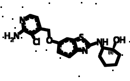 Nc1nccc(COc2ccc3nc(NC4CCCC[C@@H]4O)sc3c2)c1Cl